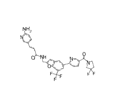 Nc1ccc(C=CC(=O)NCc2cc3cc(-c4ccc(C(=O)N5CCC(F)(F)C5)cn4)cc(C(F)(F)F)c3o2)cn1